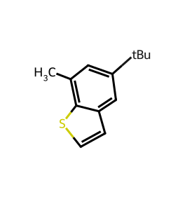 Cc1cc(C(C)(C)C)cc2ccsc12